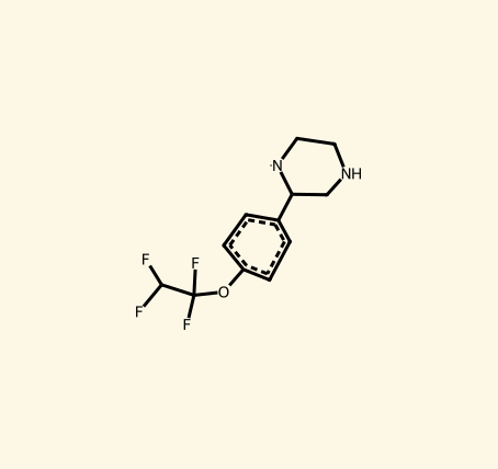 FC(F)C(F)(F)Oc1ccc(C2CNCC[N]2)cc1